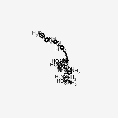 CN1CCN(c2ccc3nc(-c4ccc5nc(-c6ccc(OCCCCc7cn(C[C@H]8O[C@@H](OC9C(O)[C@H](N)CC(N)[C@H]9O[C@@H]9OC(CN)[C@@H](O)C(O)C9N)C(O)C8O[C@H]8OC(CN)[C@@H](O)C(O)C8N)nn7)cc6)[nH]c5c4)[nH]c3c2)CC1